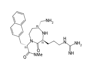 CNC(=O)[C@H](Cc1ccc2ccccc2c1)N1CC[C@H](CN)N[C@@H](CCCNC(=N)N)C1=O